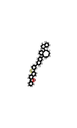 c1cccc(-c2cccc3ccccc23)c2ccccc2c(-c2ccc3cc(-c4ccc5sc6c(ccc7c6ccc6c8ccccc8oc67)c5c4)ccc3c2)cc1